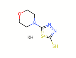 Sc1nnc(N2CCOCC2)s1.[KH]